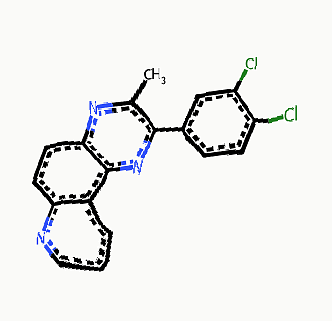 Cc1nc2ccc3ncccc3c2nc1-c1ccc(Cl)c(Cl)c1